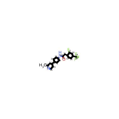 Cc1cc(-c2ccc(NC(=O)Cc3ccc(C(F)(F)F)cc3F)cc2)ccn1